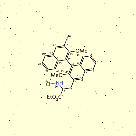 CCOC(=O)C(Cc1cc2ccccc2c(-c2c(OC)c(I)cc3ccccc23)c1OC)NCl